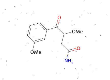 COc1cccc(C(=O)C(CC(N)=O)OC)c1